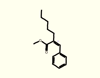 CCCCC/C(=C/c1ccccc1)C(=O)OC